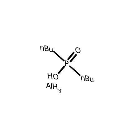 CCCCP(=O)(O)CCCC.[AlH3]